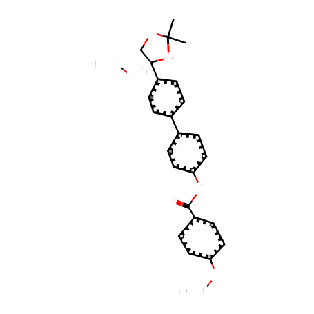 CCCCCCCCOc1ccc(C(=O)Oc2ccc(-c3ccc([C@@]4(OC(=O)O)COC(C)(C)O4)cc3)cc2)cc1